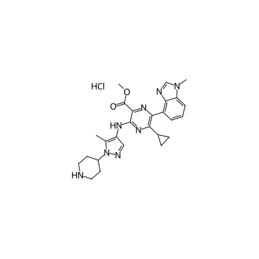 COC(=O)c1nc(-c2cccc3c2ncn3C)c(C2CC2)nc1Nc1cnn(C2CCNCC2)c1C.Cl